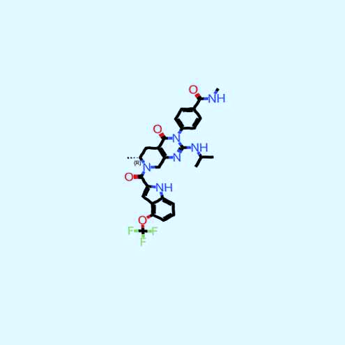 CNC(=O)c1ccc(-n2c(NC(C)C)nc3c(c2=O)C[C@@H](C)N(C(=O)c2cc4c(OC(F)(F)F)cccc4[nH]2)C3)cc1